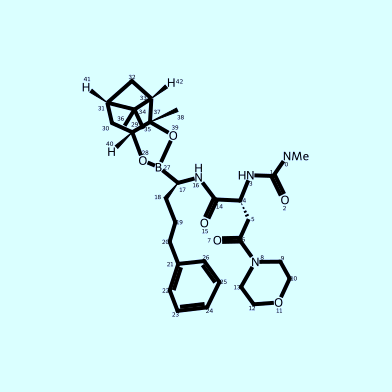 CNC(=O)N[C@H](CC(=O)N1CCOCC1)C(=O)N[C@@H](CCCc1ccccc1)B1O[C@@H]2C[C@@H]3C[C@@H](C3(C)C)[C@]2(C)O1